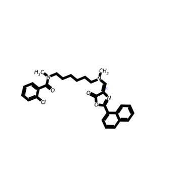 CN(/C=C1/N=C(c2cccc3ccccc23)OC1=O)CCCCCCN(C)C(=O)c1ccccc1Cl